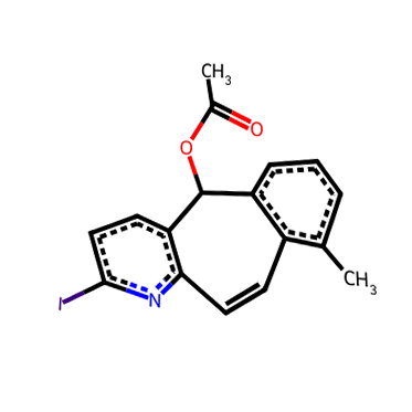 CC(=O)OC1c2ccc(I)nc2C=Cc2c(C)cccc21